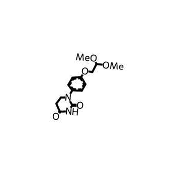 COC(COc1ccc(N2CCC(=O)NC2=O)cc1)OC